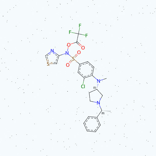 C[C@H](c1ccccc1)N1CC[C@H](N(C)c2ccc(S(=O)(=O)N(OC(=O)C(F)(F)F)c3cscn3)cc2Cl)C1